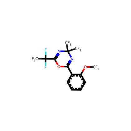 FC(F)(F)Oc1ccccc1C1=NC(C(F)(F)F)(C(F)(F)F)N=C(C(F)(F)C(F)(F)F)O1